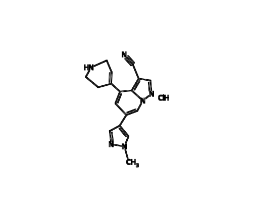 Cl.Cn1cc(-c2cc(C3=CCNCC3)c3c(C#N)cnn3c2)cn1